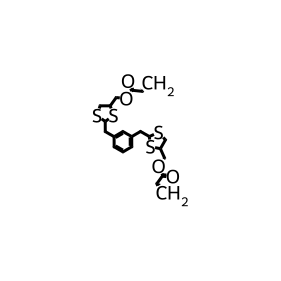 C=CC(=O)OCC1CSC(Cc2cccc(CC3SCC(COC(=O)C=C)S3)c2)S1